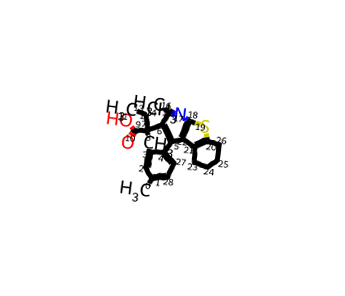 Cc1ccc(-c2c(C(C)(C(=O)O)C(C)C)c(C)nc3sc4c(c23)CCCC4)cc1